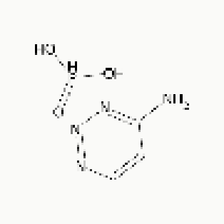 Nc1ccnnn1.O=[PH](O)O